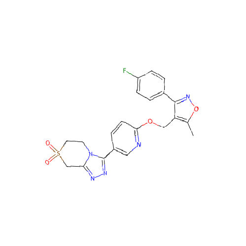 Cc1onc(-c2ccc(F)cc2)c1COc1ccc(-c2nnc3n2CCS(=O)(=O)C3)cn1